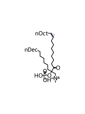 CCCCCCCC/C=C\CCCCCCCC(=O)C(CCCCCCCCCCCCCCCC)(C[N+](C)(C)C)OP(=O)(O)O